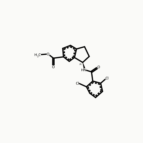 COC(=O)c1ccc2c(c1)[C@H](NC(=O)c1c(Cl)cccc1Cl)CC2